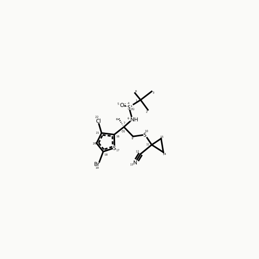 CC(C)(C)[S@@+]([O-])N[C@@](C)(CSC1(C#N)CC1)c1sc(Br)cc1Cl